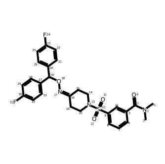 CN(C)C(=O)c1cccc(S(=O)(=O)N2CCC(=NOC(c3ccc(F)cc3)c3ccc(F)cc3)CC2)c1